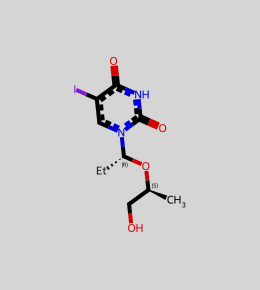 CC[C@@H](O[C@@H](C)CO)n1cc(I)c(=O)[nH]c1=O